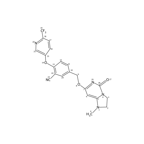 CN1CCn2c1cc(OCc1ccc(Oc3ccc(C(F)(F)F)nc3)c(C#N)c1)nc2=O